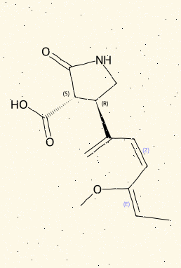 C=C(/C=C\C(=C/C)OC)[C@@H]1CNC(=O)[C@H]1C(=O)O